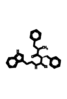 CCN(NCCc1c[nH]c2ccccc12)[C@@H](Cc1ccccc1)C(=O)N(C)Cc1ccccc1